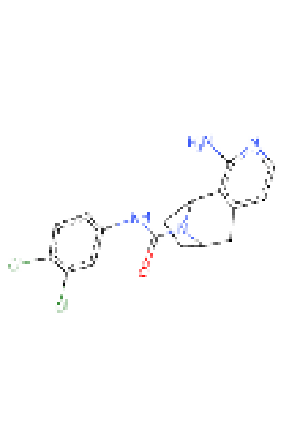 Nc1nccc2c1C1CCC(C2)N1C(=O)Nc1ccc(Cl)c(Cl)c1